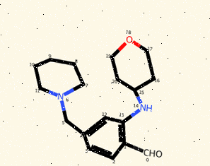 O=Cc1ccc(CN2CCCCC2)cc1NC1CCOCC1